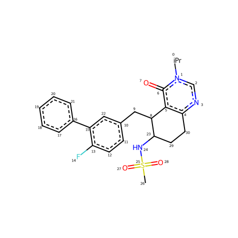 CC(C)n1cnc2c(c1=O)C(Cc1ccc(F)c(-c3ccccc3)c1)C(NS(C)(=O)=O)CC2